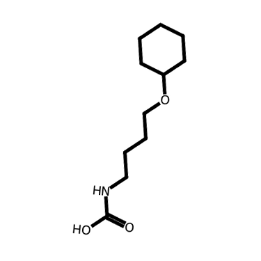 O=C(O)NCCCCOC1CCCCC1